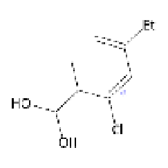 C=C(/C=C(/Cl)C(C)C(O)O)CC